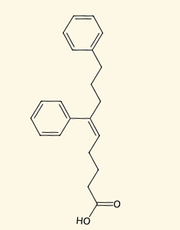 O=C(O)CCC/C=C(/CCCc1ccccc1)c1ccccc1